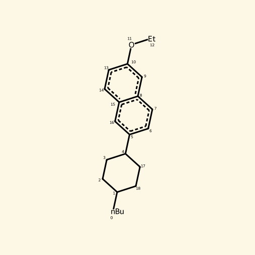 CCCCC1CCC(c2ccc3cc(OCC)ccc3c2)CC1